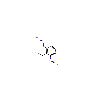 CCCCCCCCCCc1c(CN=C=O)cccc1N=C=O